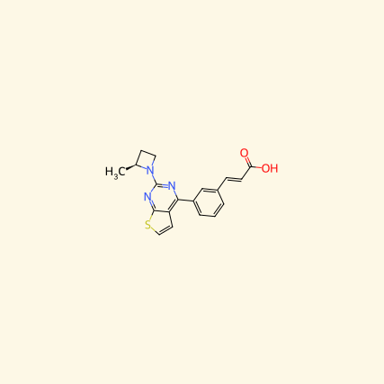 C[C@H]1CCN1c1nc(-c2cccc(/C=C/C(=O)O)c2)c2ccsc2n1